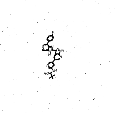 CC(C)(C)C(O)Nc1cncc(-c2cnc3[nH]nc(-c4nc5c(-c6ccc(F)cc6)cncc5[nH]4)c3c2)c1